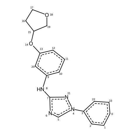 c1ccc(-n2cnc(Nc3cccc(OC4CCOC4)c3)n2)cc1